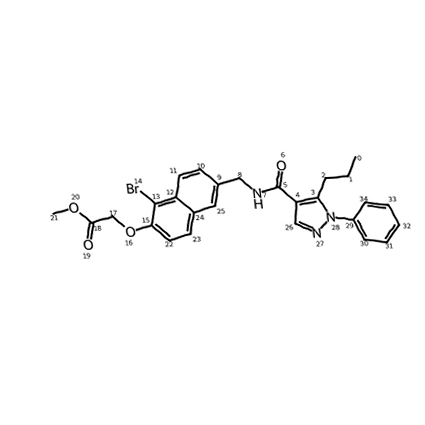 CCCc1c(C(=O)NCc2ccc3c(Br)c(OCC(=O)OC)ccc3c2)cnn1-c1ccccc1